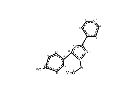 COCn1nc(-c2ccncc2)nc1-c1cc[n+]([O-])cc1